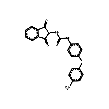 O=C(Nc1ccc(Sc2ccc([N+](=O)[O-])cc2)cc1)NN1C(=O)c2ccccc2C1=O